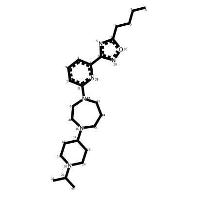 CCCCc1nc(-c2cccc(N3CCCN(C4CCN(C(C)C)CC4)CC3)n2)no1